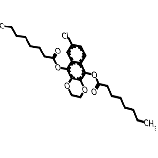 CCCCCCCC(=O)Oc1c2c(c(OC(=O)CCCCCCC)c3cc(Cl)ccc13)OCCO2